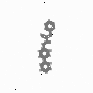 O=C(Cc1ccccc1)NCc1ccc(-c2ccccc2)cn1